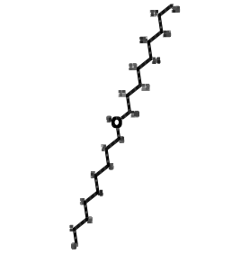 CCCCCCCCCOCCCCCCCCC